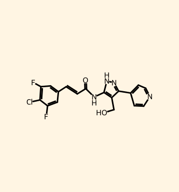 O=C(C=Cc1cc(F)c(Cl)c(F)c1)Nc1[nH]nc(-c2ccncc2)c1CO